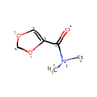 CCN(C)C(=O)C1=COCO1